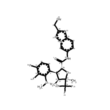 COc1c([C@H]2[C@H](C(=O)Nc3ccc4nc(CO)nn4c3)O[C@@](C)(C(F)(F)F)[C@H]2C)ccc(F)c1F